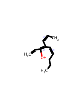 C=C/C(O)=C(\C=C/C)/C=C\CCC